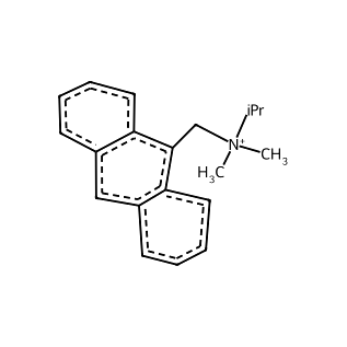 CC(C)[N+](C)(C)Cc1c2ccccc2cc2ccccc12